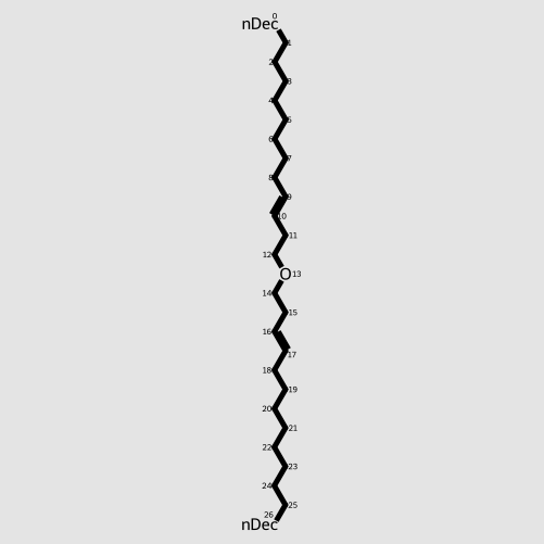 CCCCCCCCCCCCCCCCCCC=CCCOCCC=CCCCCCCCCCCCCCCCCCC